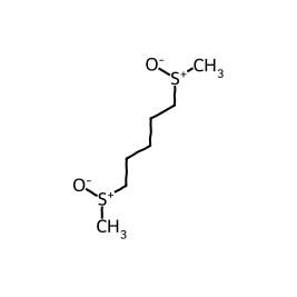 C[S+]([O-])CCCCC[S+](C)[O-]